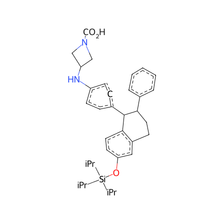 CC(C)[Si](Oc1ccc2c(c1)CCC(c1ccccc1)C2c1ccc(NC2CN(C(=O)O)C2)cc1)(C(C)C)C(C)C